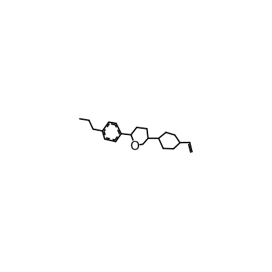 C=CC1CCC(C2CCC(c3ccc(CCC)cc3)OC2)CC1